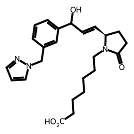 O=C(O)CCCCCCN1C(=O)CC[C@@H]1C=CC(O)c1cccc(Cn2cccn2)c1